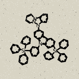 C1=CN2c3ccccc3N(c3ccc4c(c3)c3ccc([Si](c5ccccc5)(c5ccccc5)c5ccccc5)cc3n4-c3cccc([Si](c4ccccc4)(c4ccccc4)c4ccccc4)c3)N2C=C1